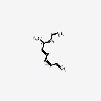 C=C/C=C\C=CC(C)NCC